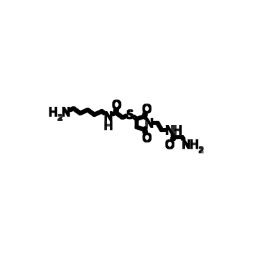 NCCCCCNC(=O)CSC1CC(=O)N(CCNC(=O)CN)C1=O